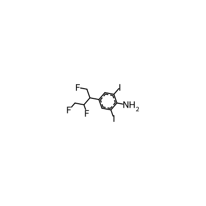 Nc1c(I)cc(C(CF)C(F)CF)cc1I